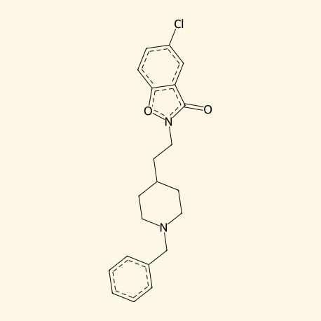 O=c1c2cc(Cl)ccc2on1CCC1CCN(Cc2ccccc2)CC1